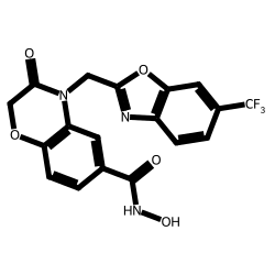 O=C(NO)c1ccc2c(c1)N(Cc1nc3ccc(C(F)(F)F)cc3o1)C(=O)CO2